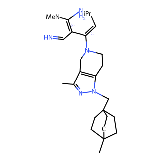 CN/C(N)=C(C=N)/C(=C\C(C)C)N1CCc2c(c(C)nn2CC23CCC(C)(CC2)CC3)C1